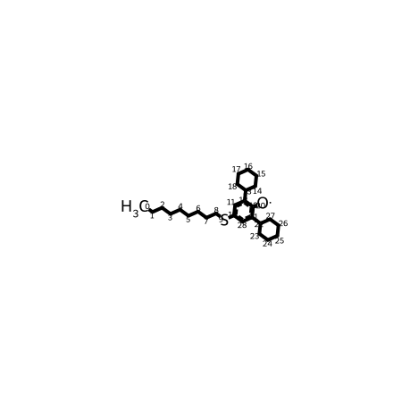 CCCCCCCCCSc1cc(C2CCCCC2)c([O])c(C2CCCCC2)c1